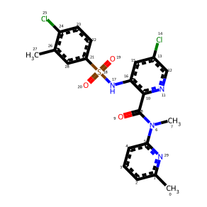 Cc1cccc(N(C)C(=O)c2ncc(Cl)cc2NS(=O)(=O)c2ccc(Cl)c(C)c2)n1